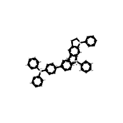 c1ccc(N2CCc3cc4c5cc(-c6ccc(N(c7ccccc7)c7ccccc7)cc6)ccc5n(-c5ccccc5)c4cc32)cc1